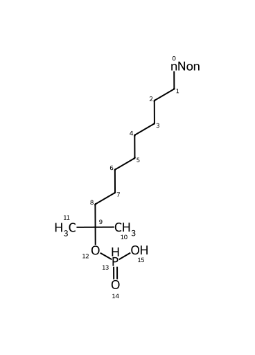 CCCCCCCCCCCCCCCCCC(C)(C)O[PH](=O)O